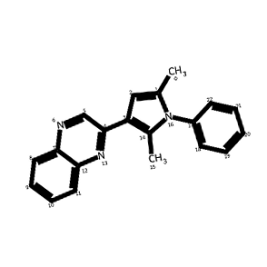 Cc1cc(-c2cnc3ccccc3n2)c(C)n1-c1ccccc1